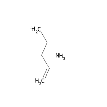 N.[CH2]CCC=C